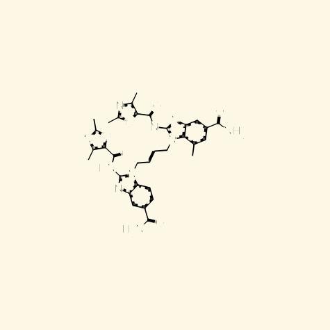 Cc1nc(C)c(C(=O)Nc2nc3cc(C(N)=O)ccc3n2CC=CCn2c(NC(=O)c3oc(C)nc3C)nc3cc(C(N)=O)cc(C)c32)o1